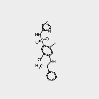 C[C@H](Nc1cc(F)c(S(=O)(=O)Nc2cscn2)cc1Cl)c1ccccc1